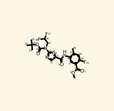 COC(=O)c1cc(NC(=O)c2cnc(N(CC(F)F)C(=O)OC(C)(C)C)s2)c(C)cc1F